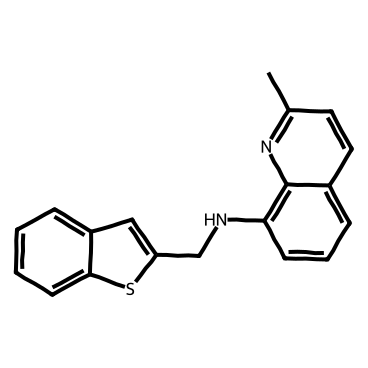 Cc1ccc2cccc(NCc3cc4ccccc4s3)c2n1